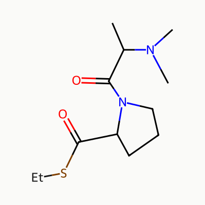 CCSC(=O)C1CCCN1C(=O)C(C)N(C)C